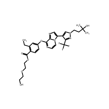 CCc1cc(Oc2nccn3c(-c4cn(CCC(C)(C)O)nc4C(F)(F)F)cnc23)ccc1C(=O)OCCOCCO